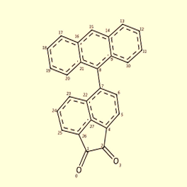 O=C1C(=O)c2ccc(-c3c4ccccc4cc4ccccc34)c3cccc1c23